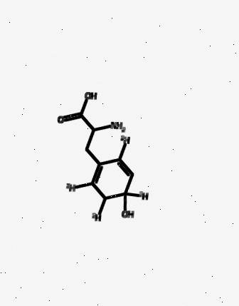 [2H]C1=CC([2H])(O)C([2H])C([2H])=C1CC(N)C(=O)O